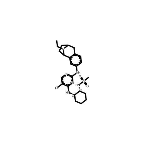 CCN1C2CCC1c1cc(Nc3ncc(Cl)c(N[C@@H]4CCCC[C@H]4NS(C)(=O)=O)n3)ccc1C2